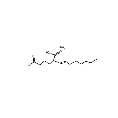 CCCCCCC=CC(CCCC(=O)O)C(=O)O.[AlH3]